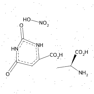 C[C@H](N)C(=O)O.O=C(O)c1cc(=O)[nH]c(=O)[nH]1.O=[N+]([O-])O